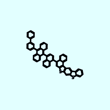 c1ccc(-c2cccc(-c3c4ccccc4c(-c4ccc(-c5cc6sc7cc8sc9ccccc9c8cc7c6c6ccccc56)c5ccccc45)c4ccccc34)c2)cc1